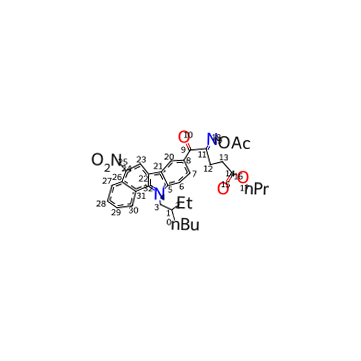 CCCCC(CC)Cn1c2ccc(C(=O)/C(CCC(=O)OCCC)=N/OC(C)=O)cc2c2cc([N+](=O)[O-])c3ccccc3c21